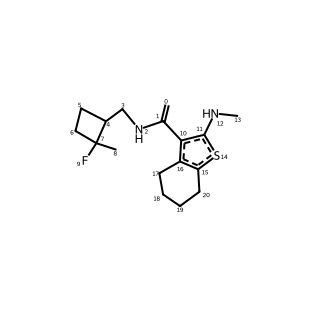 C=C(NCC1CCC1(C)F)c1c(NC)sc2c1CCCC2